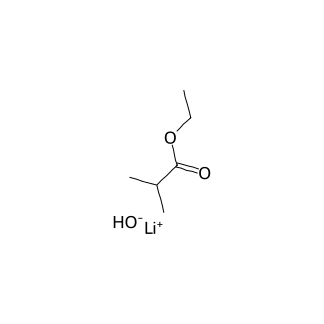 CCOC(=O)C(C)C.[Li+].[OH-]